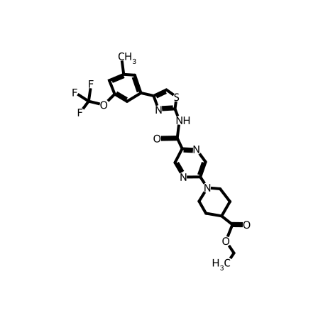 CCOC(=O)C1CCN(c2cnc(C(=O)Nc3nc(-c4cc(C)cc(OC(F)(F)F)c4)cs3)cn2)CC1